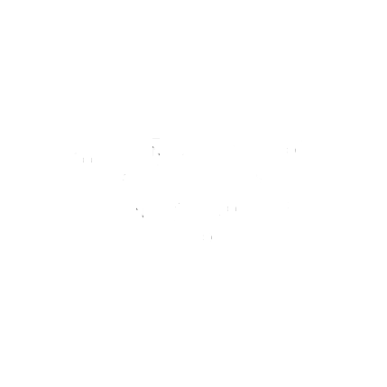 CS(=O)(=O)C[C@H]1NC(=O)NC1=O